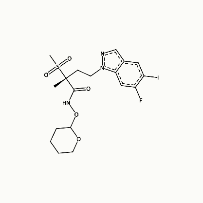 C[C@@](CCn1ncc2cc(I)c(F)cc21)(C(=O)NOC1CCCCO1)S(C)(=O)=O